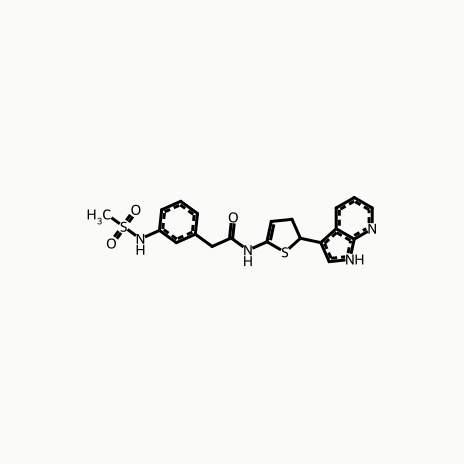 CS(=O)(=O)Nc1cccc(CC(=O)NC2=CCC(c3c[nH]c4ncccc34)S2)c1